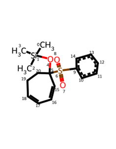 C[Si](C)(C)OC1(S(=O)(=O)c2ccccc2)C=CC=CCC1